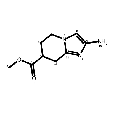 COC(=O)C1CCn2cc(N)nc2C1